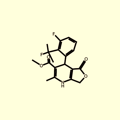 COC(=O)C1=C(C)NC2=C(C(=O)OC2)C1c1cccc(F)c1C(C)(C)F